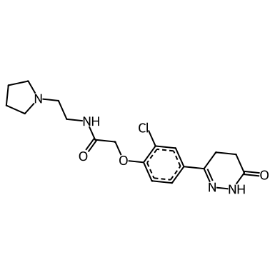 O=C(COc1ccc(C2=NNC(=O)CC2)cc1Cl)NCCN1CCCC1